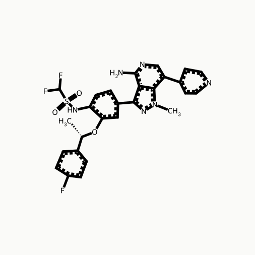 C[C@H](Oc1cc(-c2nn(C)c3c(-c4ccncc4)cnc(N)c23)ccc1NS(=O)(=O)C(F)F)c1ccc(F)cc1